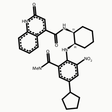 CNC(=O)c1cc(C2CCCC2)cc([N+](=O)[O-])c1N[C@@H]1CCCC[C@@H]1NC(=O)c1cc(=O)[nH]c2ccccc12